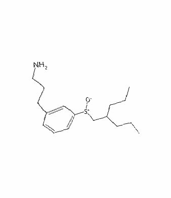 CCCC(CCC)C[S+]([O-])c1cccc(CCCN)c1